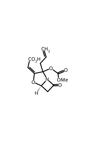 C=CCC1(OC(=O)OC)C(=CC(=O)O)O[C@@H]2CC(=O)N21